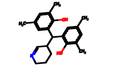 Cc1cc(C)c(O)c(C(c2cc(C)cc(C)c2O)C2C=NCCC2)c1